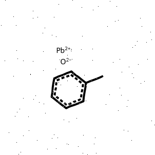 Cc1ccccc1.[O-2].[Pb+2]